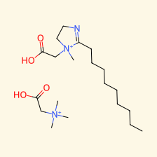 CCCCCCCCCC1=NCC[N+]1(C)CC(=O)O.C[N+](C)(C)CC(=O)O